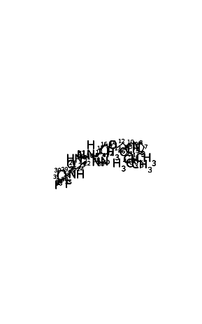 CC(C)(C)[C]([C@H]1CCCN1CCCCOc1ccc2c(Nc3cc(CC(=O)Nc4cccc(F)c4F)[nH]n3)ncnc2c1)C(C)(C)C